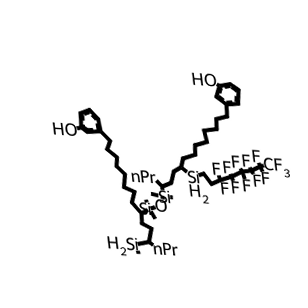 CCCC(CCC(CCCCCCCCc1cccc(O)c1)[Si](C)(C)O[Si](C)(C)C(CCC)CCC(CCCCCCCCc1cccc(O)c1)[SiH2]CCC(F)(F)C(F)(F)C(F)(F)C(F)(F)C(F)(F)C(F)(F)F)[SiH2]C